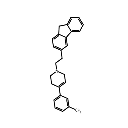 FC(F)(F)c1cccc(C2=CCN(CCc3ccc4c(c3)-c3ccccc3C4)CC2)c1